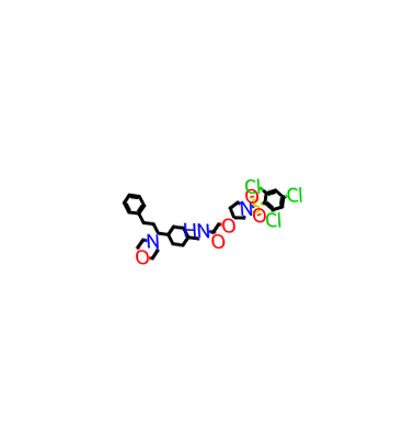 O=C(COC1CCN(S(=O)(=O)c2c(Cl)cc(Cl)cc2Cl)C1)NCC1CCC(C(CCc2ccccc2)N2CCOCC2)CC1